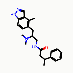 Cc1c(CC(CNC(=O)CC(C)c2ccccc2)N(C)C)ccc2[nH]ncc12